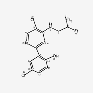 CCC(N)CNc1nc(-c2cc(Cl)ccc2O)ncc1Cl